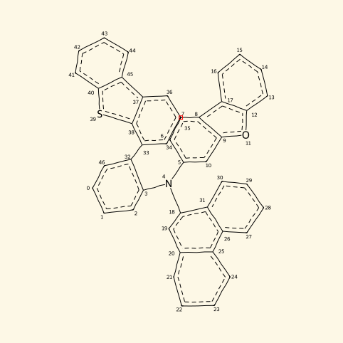 c1ccc(N(c2ccc3c(c2)oc2ccccc23)c2cc3ccccc3c3ccccc23)c(-c2cccc3c2sc2ccccc23)c1